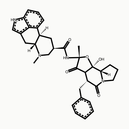 CN1C[C@H](C(=O)N[C@]2(C)O[C@]3(O)C(C2=O)[C@@H](Cc2ccccc2)C(=O)N2CCC[C@H]23)C[C@@H]2c3cccc4[nH]cc(c34)C[C@H]21